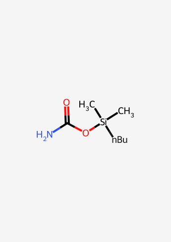 CCCC[Si](C)(C)OC(N)=O